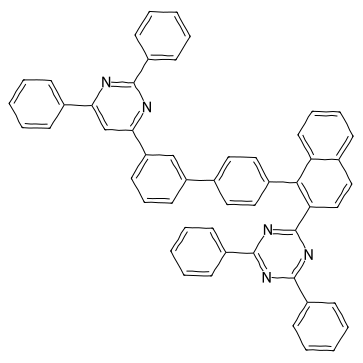 c1ccc(-c2cc(-c3cccc(-c4ccc(-c5c(-c6nc(-c7ccccc7)nc(-c7ccccc7)n6)ccc6ccccc56)cc4)c3)nc(-c3ccccc3)n2)cc1